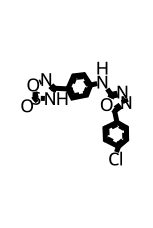 O=S1NC(c2ccc(Nc3nnc(-c4ccc(Cl)cc4)o3)cc2)=NO1